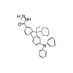 CCC1(C2CCCCC2)c2cc(C(=O)NN)ccc2-c2ccc(N(c3ccccc3)c3ccccc3)cc21